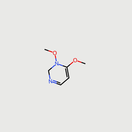 COC1=CC=NCN1OC